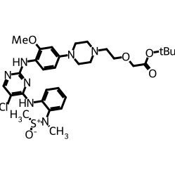 COc1cc(N2CCN(CCOCC(=O)OC(C)(C)C)CC2)ccc1Nc1ncc(Cl)c(Nc2ccccc2N(C)[S+](C)[O-])n1